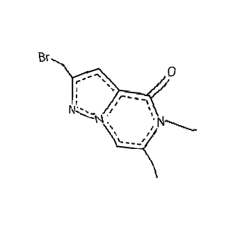 Cc1cn2nc(Br)cc2c(=O)n1C